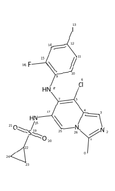 Cc1ncc2c(Cl)c(Nc3ccc(I)cc3F)c(NS(=O)(=O)C3CC3)cn12